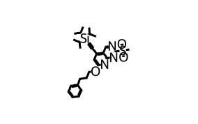 CC(C)[Si](C#Cc1cc(OCCCc2ccccc2)nc2nc(S(C)(=O)=O)ncc12)(C(C)C)C(C)C